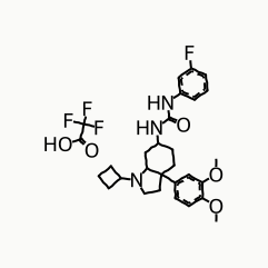 COc1ccc(C23CCC(NC(=O)Nc4cccc(F)c4)CC2N(C2CCC2)CC3)cc1OC.O=C(O)C(F)(F)F